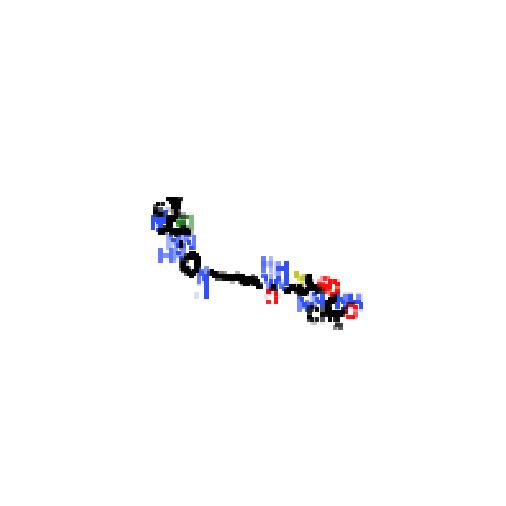 Cc1nc2c(CNC(=O)NCCCCCCCCNC3CCC(Nc4ncc(Cl)c(-c5cnn(C)c5CC5CC5)n4)CC3)scc2c(=O)n1C1CCC(=O)NC1=O